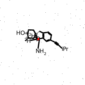 [2H]C1([2H])OC(N)=NC12c1cc(C#CC(C)C)ccc1C[C@]21CC[C@@H](O)[C@H](C)C1